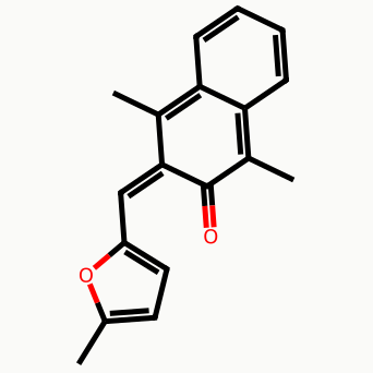 CC1=c2ccccc2=C(C)C(=Cc2ccc(C)o2)C1=O